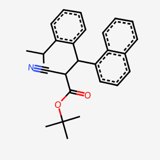 CC(C)c1ccccc1C(c1cccc2ccccc12)C(C#N)C(=O)OC(C)(C)C